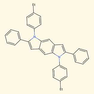 CCc1ccc(-n2c(-c3ccccc3)cc3cc4c(cc(-c5ccccc5)n4-c4ccc(CC)cc4)cc32)cc1